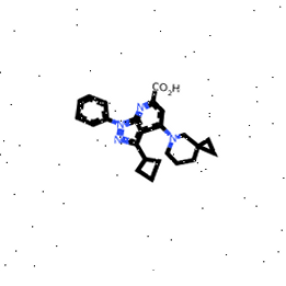 O=C(O)c1cc(N2CCCC3(CC3)C2)c2c(C3CCC3)nn(-c3ccccc3)c2n1